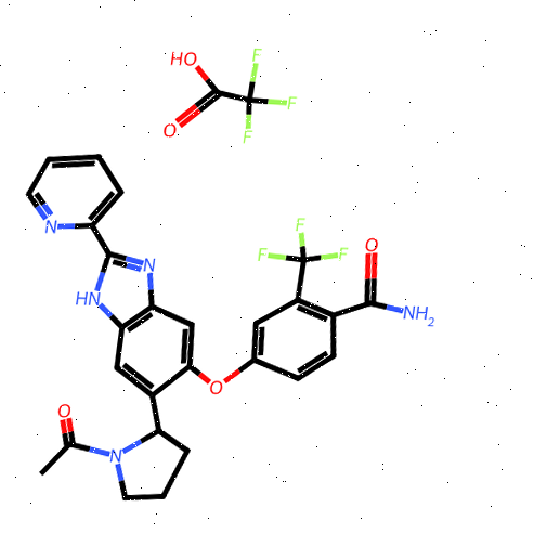 CC(=O)N1CCCC1c1cc2[nH]c(-c3ccccn3)nc2cc1Oc1ccc(C(N)=O)c(C(F)(F)F)c1.O=C(O)C(F)(F)F